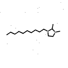 CCCCCCCCCCN1CCN(C)C1C